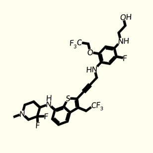 CN1CCC(Nc2cccc3c(CC(F)(F)F)c(C#CCNc4cc(F)c(NCCO)cc4OCC(F)(F)F)sc23)C(F)(F)C1